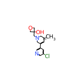 C[C@@H]1C=C(c2cncc(Cl)c2)CN(CC2(O)COC2)C1